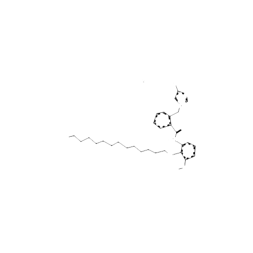 CCCCCCCCCCCCCCOc1c(NC(=O)c2ccccc2C[n+]2csc(C)c2)cccc1OC.[Br-]